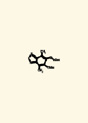 CCCCCCCCOc1c(OC)c(C)c2nsnc2c1C